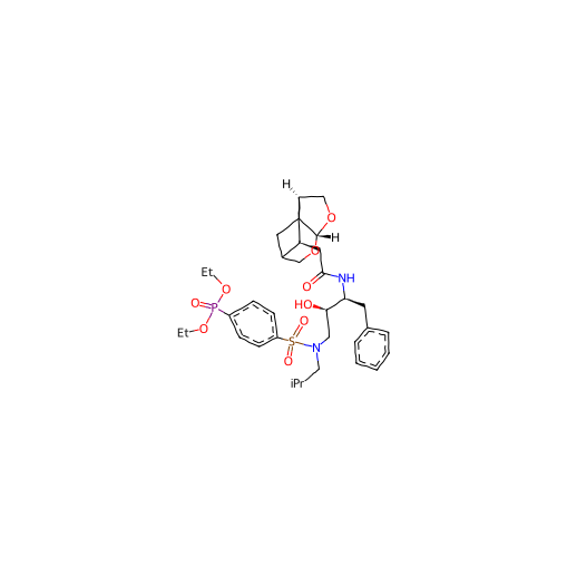 CCOP(=O)(OCC)c1ccc(S(=O)(=O)N(CC(C)C)C[C@@H](O)[C@H](Cc2ccccc2)NC(=O)C[C@H]2C3CO[C@H]4OC[C@@H]2C4C3)cc1